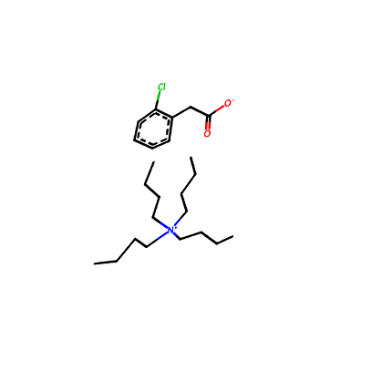 CCCC[N+](CCCC)(CCCC)CCCC.O=C([O-])Cc1ccccc1Cl